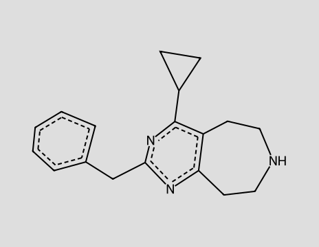 c1ccc(Cc2nc3c(c(C4CC4)n2)CCNCC3)cc1